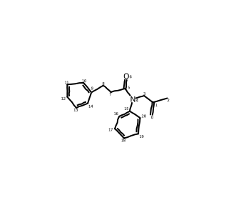 C=C(C)CN(C(=O)CCc1ccccc1)c1ccccc1